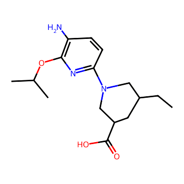 CCC1CC(C(=O)O)CN(c2ccc(N)c(OC(C)C)n2)C1